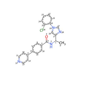 CC(NC(=O)c1ccc(-c2ccncc2)cc1)c1cn(-c2ccccc2Cl)cn1